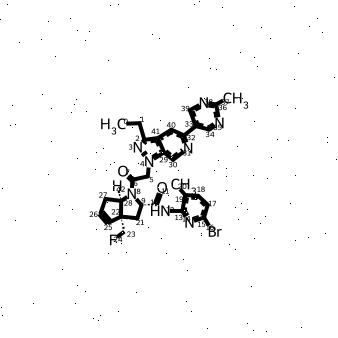 CCc1nn(CC(=O)N2[C@H](C(=O)Nc3nc(Br)ccc3C)C[C@@]3(CF)C#CC[C@@H]23)c2cnc(-c3cnc(C)nc3)cc12